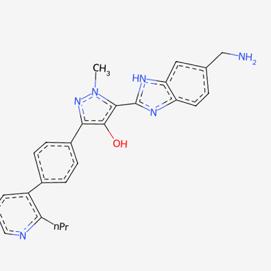 CCCc1ncccc1-c1ccc(-c2nn(C)c(-c3nc4ccc(CN)cc4[nH]3)c2O)cc1